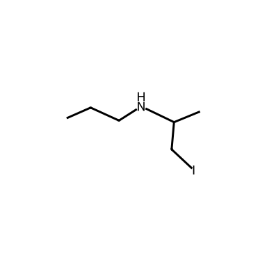 CCCNC(C)CI